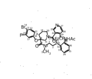 CCN(CCN(C)C(=O)C1(Oc2ccc(Br)c(F)c2)CCCN(C(=O)c2cnccc2C(F)(F)F)C1)c1ccccc1NC(C)=O